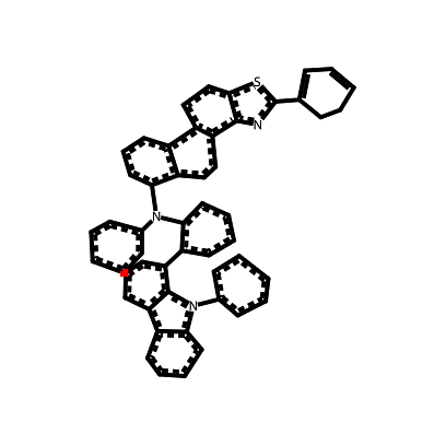 C1=CCCC(c2nc3c(ccc4c5cccc(N(c6ccccc6)c6ccccc6-c6cccc7c8ccccc8n(-c8ccccc8)c67)c5ccc43)s2)=C1